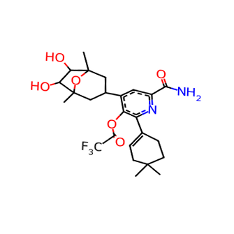 CC1(C)CC=C(c2nc(C(N)=O)cc(C3CC4(C)OC(C)(C3)C(O)C4O)c2OC(=O)C(F)(F)F)CC1